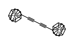 C(C#C[C]12[CH]3[CH]4[CH]5[CH]1[Fe]45321678[CH]2[CH]1[CH]6[CH]7[CH]28)#C[C]12[CH]3[CH]4[CH]5[CH]1[Fe]45321678[CH]2[CH]1[CH]6[CH]7[CH]28